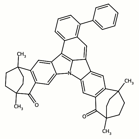 CC12CCC(C)(CC1)c1cc3c4cc5c(-c6ccccc6)cccc5c5c6cc7c(cc6n(c3cc1C2=O)c45)C(=O)C1(C)CCC7(C)CC1